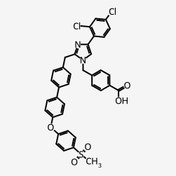 CS(=O)(=O)c1ccc(Oc2ccc(-c3ccc(Cc4nc(-c5ccc(Cl)cc5Cl)cn4Cc4ccc(C(=O)O)cc4)cc3)cc2)cc1